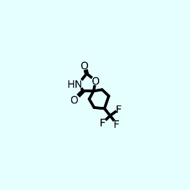 O=C1NC(=O)C2(CCC(C(F)(F)F)CC2)O1